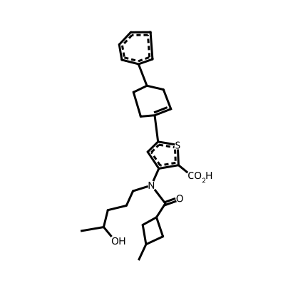 CC(O)CCCN(C(=O)C1CC(C)C1)c1cc(C2=CCC(c3ccccc3)CC2)sc1C(=O)O